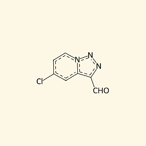 O=Cc1nnn2ccc(Cl)cc12